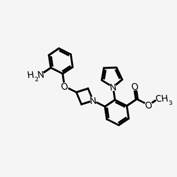 COC(=O)c1cccc(N2CC(Oc3ccccc3N)C2)c1-n1cccc1